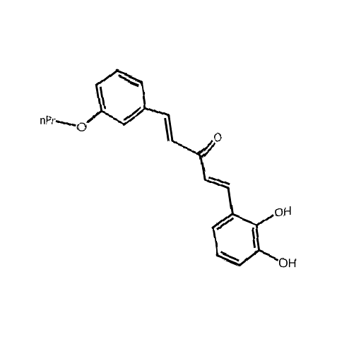 CCCOc1cccc(/C=C/C(=O)/C=C/c2cccc(O)c2O)c1